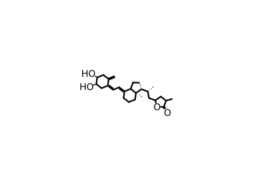 C=C1C[C@H](O)[C@H](O)C/C1=C/C=C1CCC[C@@]2(C)C1CC[C@@H]2[C@H](C)CC1CC(C)C(=O)O1